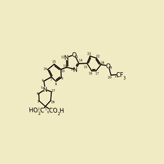 O=C(O)C1(C(=O)O)CCN(Cc2ccc(-c3noc(-c4ccc(OCC(F)(F)F)cc4)n3)cc2)CC1